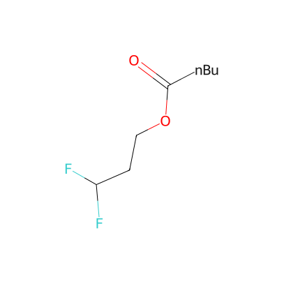 CCCCC(=O)OCCC(F)F